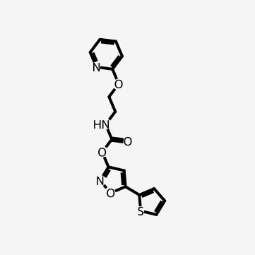 O=C(NCCOc1ccccn1)Oc1cc(-c2cccs2)on1